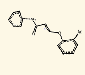 CC(=O)c1ccccc1O/C=C/C(=O)Nc1ccccc1